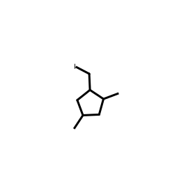 CC1CC(C)C(CI)C1